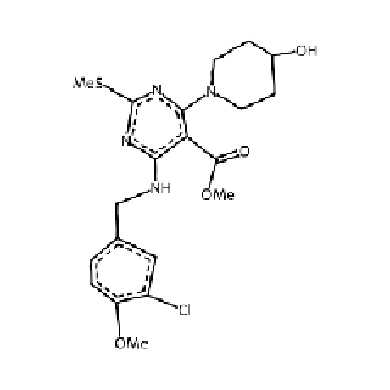 COC(=O)c1c(NCc2ccc(OC)c(Cl)c2)nc(SC)nc1N1CCC(O)CC1